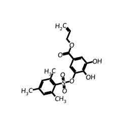 C=CCOC(=O)c1cc(O)c(O)c(OS(=O)(=O)c2c(C)cc(C)cc2C)c1